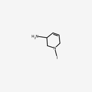 NC1C=CCN(I)C1